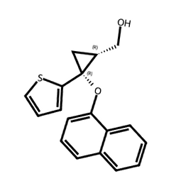 OC[C@H]1C[C@]1(Oc1cccc2ccccc12)c1cccs1